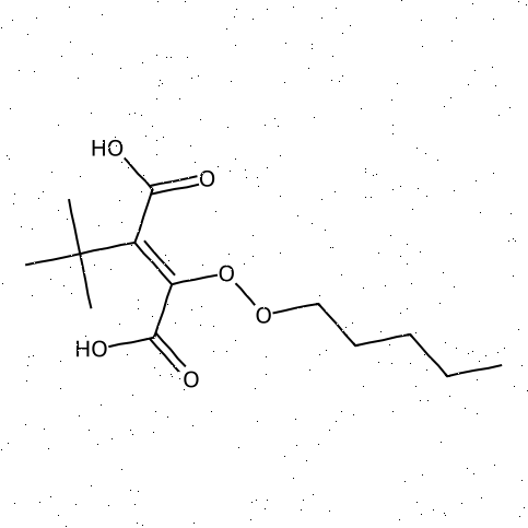 CCCCCOOC(C(=O)O)=C(C(=O)O)C(C)(C)C